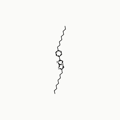 CCCCCCCCCc1ccc(-c2cn3cc(CCCCCCCCC)sc3n2)cc1